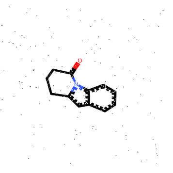 O=C1CCCc2cc3ccccc3n21